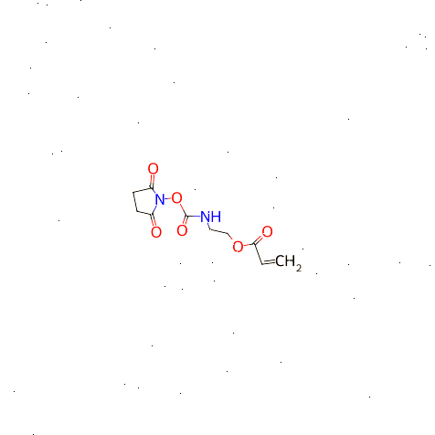 C=CC(=O)OCCNC(=O)ON1C(=O)CCC1=O